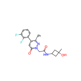 CC(C)c1nn(CC(=O)NC2CC(C)(O)C2)c(=O)cc1-c1cccc(F)c1F